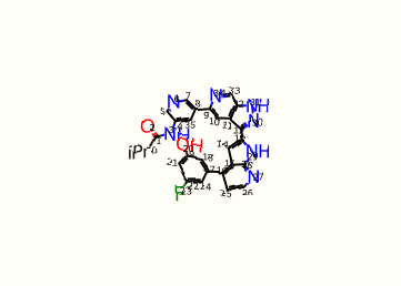 CC(C)C(=O)Nc1cncc(-c2cc3c(-c4cc5c(-c6cc(O)cc(F)c6)ccnc5[nH]4)n[nH]c3cn2)c1